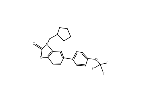 O=c1oc2ccc(-c3ccc(OC(F)(F)F)cc3)cc2n1CC1CCCC1